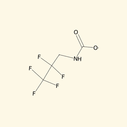 [O]C(=O)NCC(F)(F)C(F)(F)F